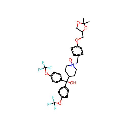 CC1(C)OCC(COc2ccc(C[N+]3([O-])CCC(C(O)(c4ccc(OC(F)(F)F)cc4)c4ccc(OC(F)(F)F)cc4)CC3)cc2)O1